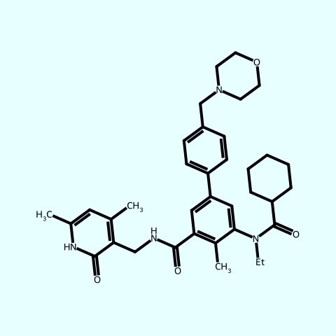 CCN(C(=O)C1CCCCC1)c1cc(-c2ccc(CN3CCOCC3)cc2)cc(C(=O)NCc2c(C)cc(C)[nH]c2=O)c1C